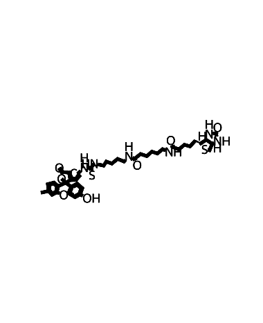 Cc1ccc2c(c1)Oc1cc(O)ccc1C21OC(=O)c2cc(NC(=S)NCCCCCNC(=O)CCCCCNC(=O)CCCC[C@@H]3SC[C@@H]4NC(=O)N[C@@H]43)ccc21